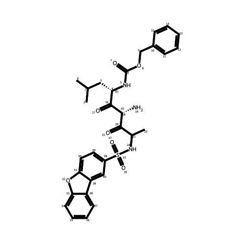 CC(C)C[C@H](NC(=O)OCc1ccccc1)C(=O)[C@H](N)C(=O)C(C)NS(=O)(=O)c1ccc2oc3ccccc3c2c1